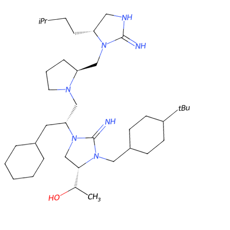 CC(C)CC[C@@H]1CNC(=N)N1C[C@@H]1CCCN1C[C@@H](CC1CCCCC1)N1C[C@@H](C(C)O)N(CC2CCC(C(C)(C)C)CC2)C1=N